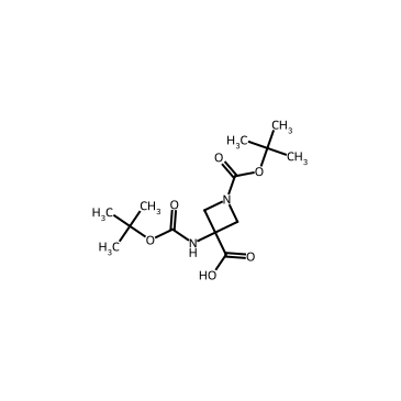 CC(C)(C)OC(=O)NC1(C(=O)O)CN(C(=O)OC(C)(C)C)C1